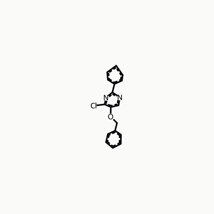 Clc1nc(-c2ccccc2)ncc1OCc1ccccc1